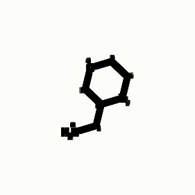 NCC1COCC[N]1